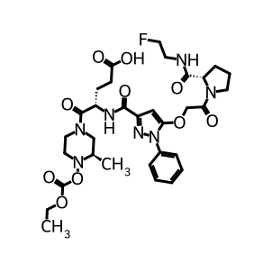 CCOC(=O)ON1CCN(C(=O)[C@H](CCC(=O)O)NC(=O)c2cc(OCC(=O)N3CCC[C@H]3C(=O)NCCF)n(-c3ccccc3)n2)C[C@H]1C